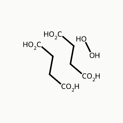 O=C(O)CCC(=O)O.O=C(O)CCC(=O)O.OO